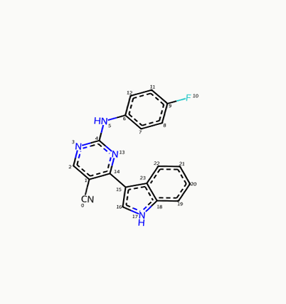 N#Cc1cnc(Nc2ccc(F)cc2)nc1-c1c[nH]c2ccccc12